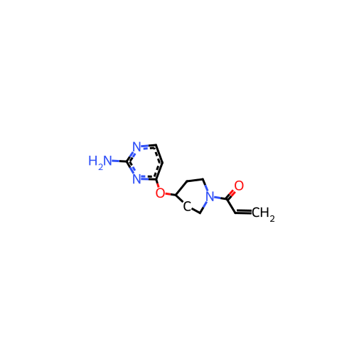 C=CC(=O)N1CCC(Oc2ccnc(N)n2)CC1